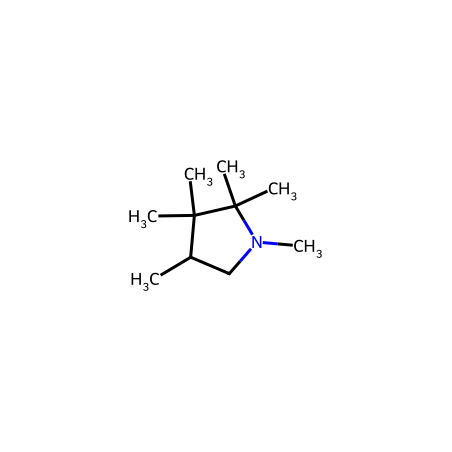 CC1CN(C)C(C)(C)C1(C)C